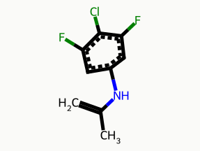 C=C(C)Nc1cc(F)c(Cl)c(F)c1